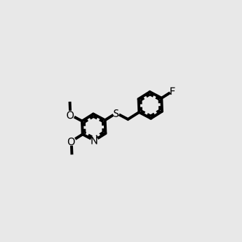 COc1cc(SCc2ccc(F)cc2)cnc1OC